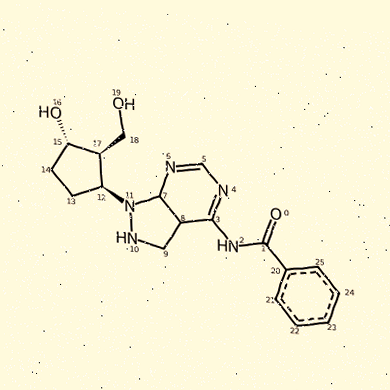 O=C(NC1=NC=NC2C1CNN2[C@H]1CC[C@H](O)[C@H]1CO)c1ccccc1